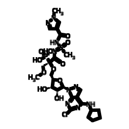 COC[C@@](OC[C@H]1O[C@@H](n2ncc3c(NC4CCCC4)nc(Cl)nc32)[C@H](O)[C@@H]1O)(C(=O)N=S(C)(=O)NC(=O)c1cnn(C)c1)P(=O)(O)O